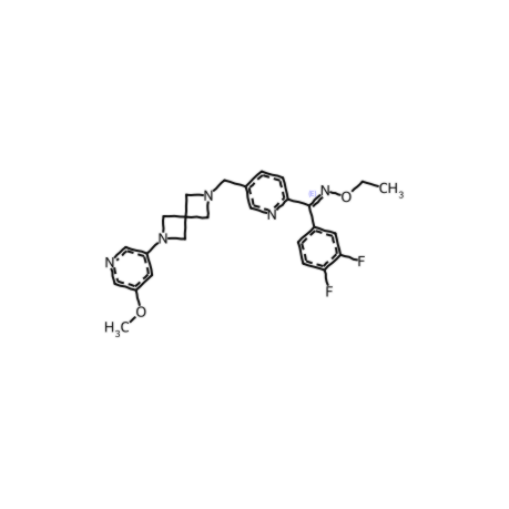 CCO/N=C(\c1ccc(F)c(F)c1)c1ccc(CN2CC3(C2)CN(c2cncc(OC)c2)C3)cn1